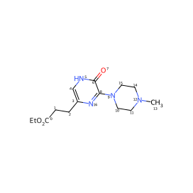 CCOC(=O)CCc1c[nH]c(=O)c(N2CCN(C)CC2)n1